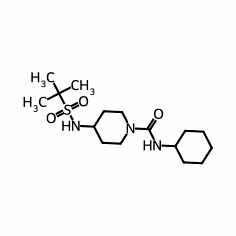 CC(C)(C)S(=O)(=O)NC1CCN(C(=O)NC2CCCCC2)CC1